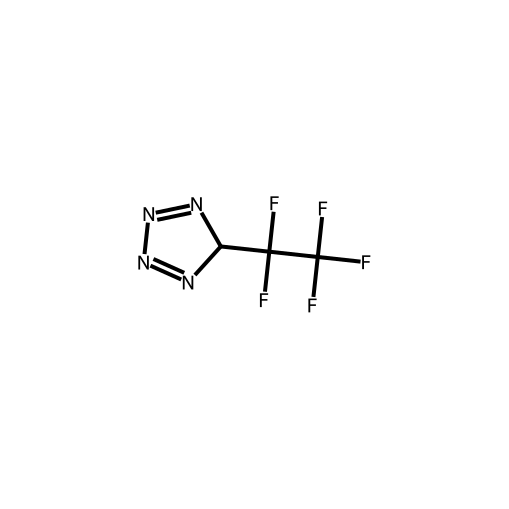 FC(F)(F)C(F)(F)C1N=NN=N1